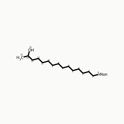 CCCCCCCCCCCCCCCCCCCCCCC(C)O